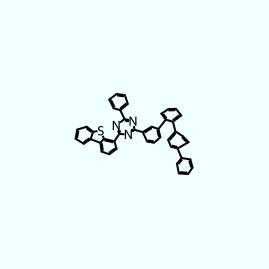 c1ccc(-c2ccc(-c3ccccc3-c3cccc(-c4nc(-c5ccccc5)nc(-c5cccc6c5sc5ccccc56)n4)c3)cc2)cc1